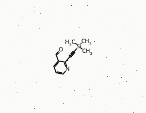 C[Si](C)(C)C#Cc1ncccc1C=O